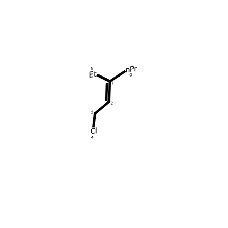 CCCC(=CCCl)CC